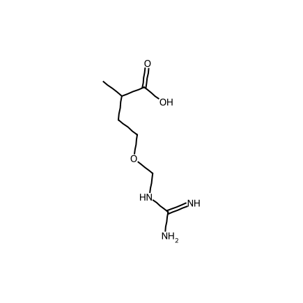 CC(CCOCNC(=N)N)C(=O)O